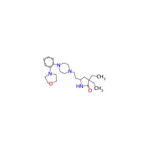 CCC1(CC)CC(CCN2CCN(c3ccccc3N3CCOCC3)CC2)NC1=O